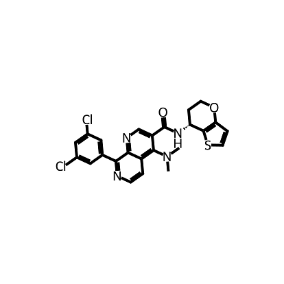 CN(C)c1c(C(=O)N[C@@H]2CCOc3ccsc32)cnc2c(-c3cc(Cl)cc(Cl)c3)nccc12